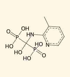 Cc1cccnc1NC(O)(P(=O)(O)O)P(=O)(O)O